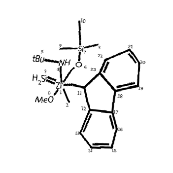 C[O][Zr]([CH3])(=[SiH2])([NH]C(C)(C)C)([O][Si](C)(C)C)[CH]1c2ccccc2-c2ccccc21